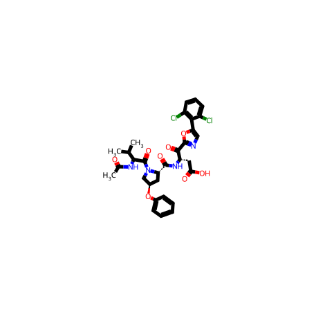 CC(=O)NC(C(=O)N1C[C@H](Oc2ccccc2)C[C@H]1C(=O)N[C@@H](CC(=O)O)C(=O)c1ncc(-c2c(Cl)cccc2Cl)o1)C(C)C